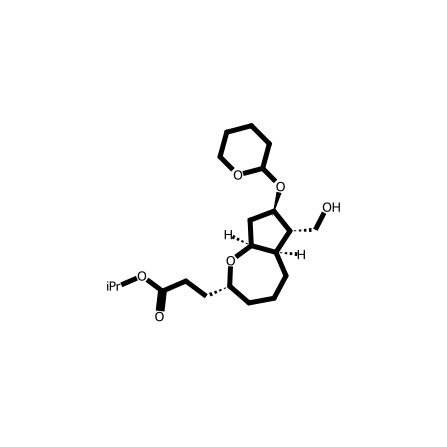 CC(C)OC(=O)CC[C@H]1CCC[C@@H]2[C@@H](CO)[C@H](OC3CCCCO3)C[C@@H]2O1